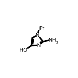 CC(C)n1cc(O)nc1N